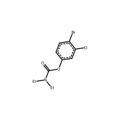 CCN(CC)C(=O)Oc1ccc(Br)c(Cl)c1